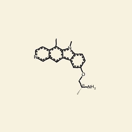 Cc1c2ccncc2cc2c3cc(OC[C@@H](C)N)ccc3n(C)c12